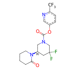 O=C(Oc1ccc(C(F)(F)F)nc1)N1C[C@H](N2CCCCC2=O)CC(F)(F)C1